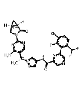 C[C@H](c1cnc(N2C[C@H]3C[C@H]3C2=O)nc1N)n1cc(NC(=O)c2cncc(-c3c(C(F)F)ccc(Cl)c3F)n2)cn1